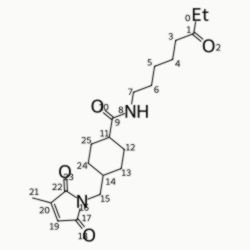 CCC(=O)CCCCCNC(=O)C1CCC(CN2C(=O)C=C(C)C2=O)CC1